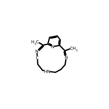 CC1=NCCCNCCCN=C(C)c2cccc1n2